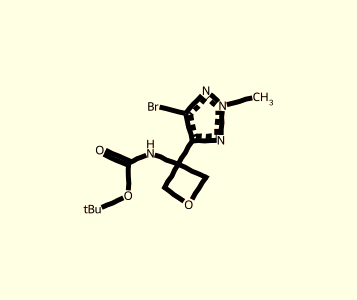 Cn1nc(Br)c(C2(NC(=O)OC(C)(C)C)COC2)n1